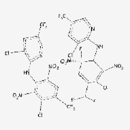 O=[N+]([O-])C1=C(Cl)C(C(F)F)=C[C@](F)([N+](=O)[O-])C1Nc1ncc(C(F)(F)F)cc1Cl.O=[N+]([O-])c1cc(C(F)(F)F)c(Cl)c([N+](=O)[O-])c1Nc1ncc(C(F)(F)F)cc1Cl